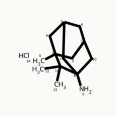 CC12CC3CC(C1)CC(N)(C3)C2(C)C.Cl